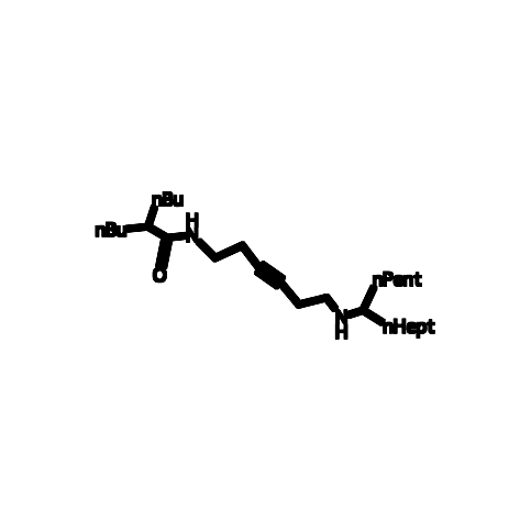 CCCCCCCC(CCCCC)NCCC#CCCNC(=O)C(CCCC)CCCC